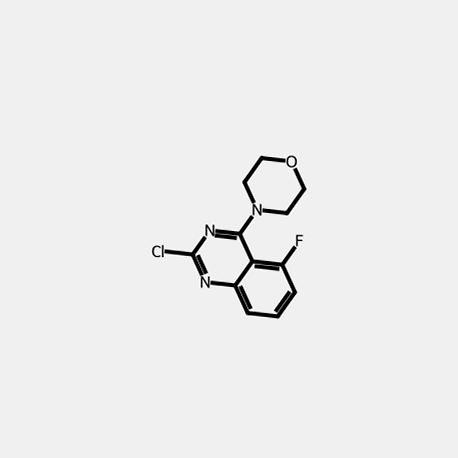 Fc1cccc2nc(Cl)nc(N3CCOCC3)c12